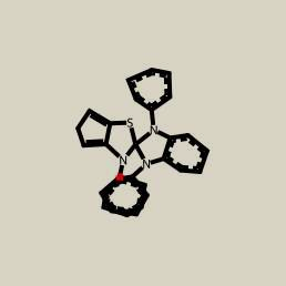 C1=C2SC3(N(c4ccccc4)C2=CC1)N(c1ccccc1)c1ccccc1N3c1ccccc1